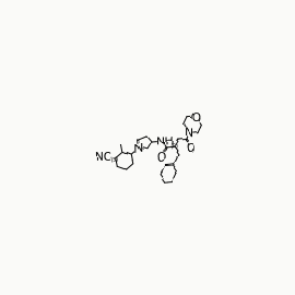 CC1C(N2CCC(NC(=O)[C@@H](CC(=O)N3CCOCC3)CC3CCCCC3)C2)CCC[C@@H]1C#N